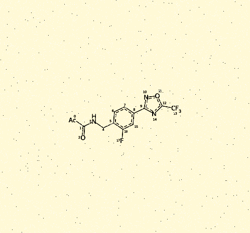 CC(=O)C(=O)NCc1ccc(-c2noc(C(F)(F)F)n2)cc1F